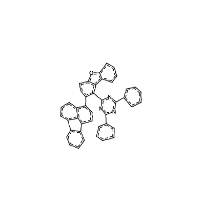 c1ccc(-c2nc(-c3ccccc3)nc(-c3c(-c4ccc5c6c(cccc46)-c4ccccc4-5)ccc4oc5ccccc5c34)n2)cc1